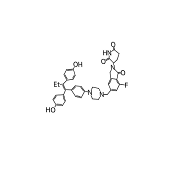 CCC(=C(c1ccc(O)cc1)c1ccc(N2CCN(Cc3cc(F)c4c(c3)CN(C3CCC(=O)NC3=O)C4=O)CC2)cc1)c1ccc(O)cc1